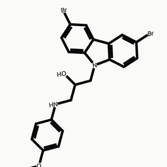 CCOc1ccc(NCC(O)Cn2c3ccc(Br)cc3c3cc(Br)ccc32)cc1